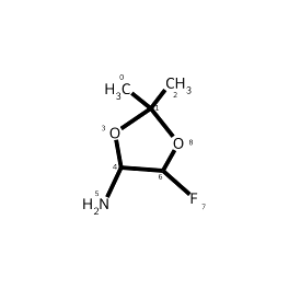 CC1(C)OC(N)C(F)O1